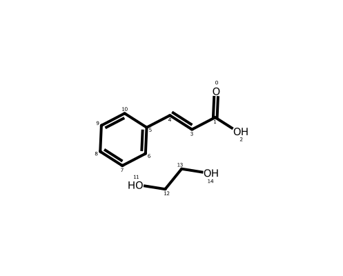 O=C(O)C=Cc1ccccc1.OCCO